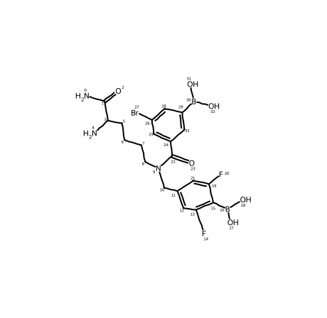 NC(=O)C(N)CCCCN(Cc1cc(F)c(B(O)O)c(F)c1)C(=O)c1cc(Br)cc(B(O)O)c1